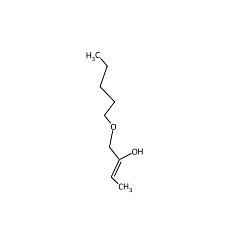 CC=C(O)COCCCCC